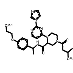 COCCOc1ccc(C(C)NC(=O)C2CN(C(=O)CC(C)OC)CCN2c2ccnc(-n3ccnc3)n2)cc1